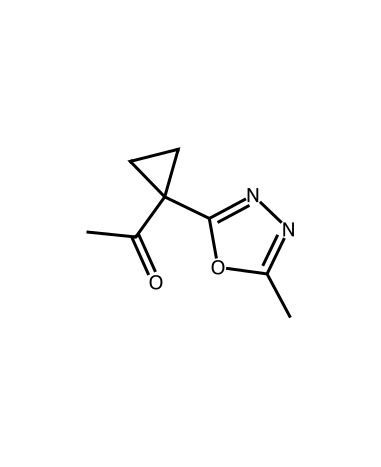 CC(=O)C1(c2nnc(C)o2)CC1